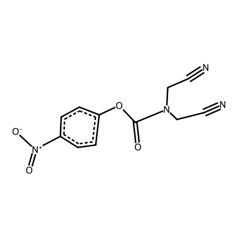 N#CCN(CC#N)C(=O)Oc1ccc([N+](=O)[O-])cc1